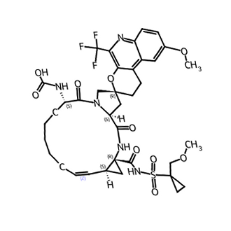 COCC1(S(=O)(=O)NC(=O)[C@@]23C[C@H]2/C=C\CCCCC[C@H](NC(=O)O)C(=O)N2C[C@@]4(CCc5c(c(C(F)(F)F)nc6ccc(OC)cc56)O4)C[C@H]2C(=O)N3)CC1